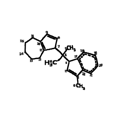 CC1=CC(C(C)(C)C2C=CC3=C2CCCCC3)c2ccccc21